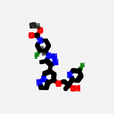 Cc1c(-c2cc(OCC(C)(O)c3ccc(F)cn3)c3ccnn3c2)nnn1[C@@H]1CCN(C(=O)OC(C)(C)C)C[C@@H]1F